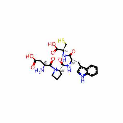 N[C@@H](CC(=O)O)C(=O)N1CCC[C@H]1C(=O)N[C@@H](Cc1c[nH]c2ccccc12)C(=O)N[C@H](CS)C(=O)O